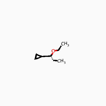 CCO[C@H](CC)C1CC1